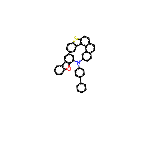 c1ccc(-c2ccc(N(c3ccc4ccc5ccc6sc7ccccc7c6c5c4c3)c3cccc4c3oc3ccccc34)cc2)cc1